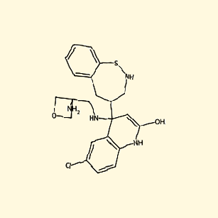 NC1(CNC2(C3CNSc4ccccc4C3)C=C(O)Nc3ccc(Cl)cc32)COC1